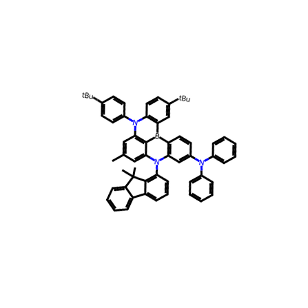 Cc1cc2c3c(c1)N(c1cccc4c1C(C)(C)c1ccccc1-4)c1cc(N(c4ccccc4)c4ccccc4)ccc1B3c1cc(C(C)(C)C)ccc1N2c1ccc(C(C)(C)C)cc1